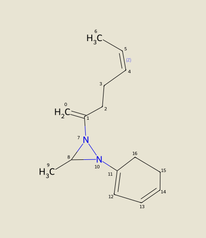 C=C(CC/C=C\C)N1C(C)N1C1=CC=CCC1